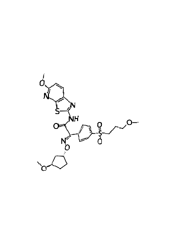 COCCCS(=O)(=O)c1ccc(/C(=N\O[C@@H]2CC[C@@H](OC)C2)C(=O)Nc2nc3ccc(OC)nc3s2)cc1